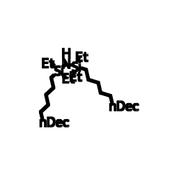 CCCCCCCCCCCCCCC[Si](CC)(CC)N[Si](CC)(CC)CCCCCCCCCCCCCCC